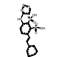 O=S(=O)(O)c1c(C=Cc2ccccc2)ccc(Nc2ccnnn2)c1S(=O)(=O)O